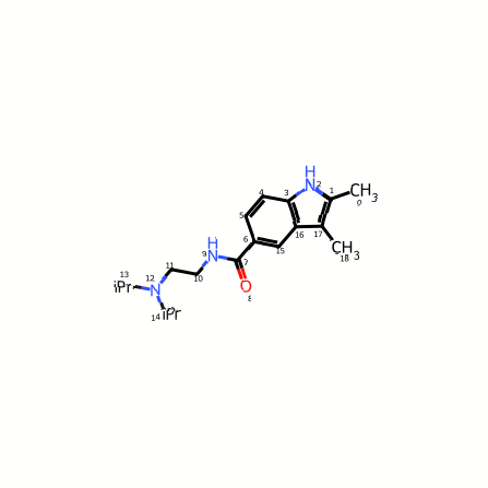 Cc1[nH]c2ccc(C(=O)NCCN(C(C)C)C(C)C)cc2c1C